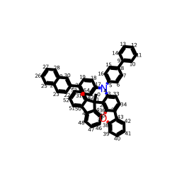 CC1(c2c(N(c3ccc(-c4ccccc4)cc3)c3ccc(-c4ccc5ccccc5c4)cc3)ccc3c2oc2ccccc23)c2ccccc2-c2ccccc21